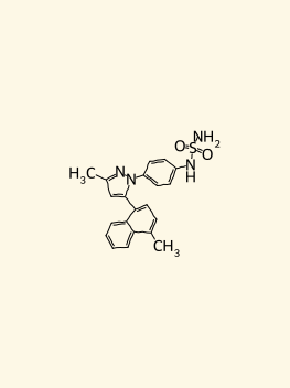 Cc1cc(-c2ccc(C)c3ccccc23)n(-c2ccc(NS(N)(=O)=O)cc2)n1